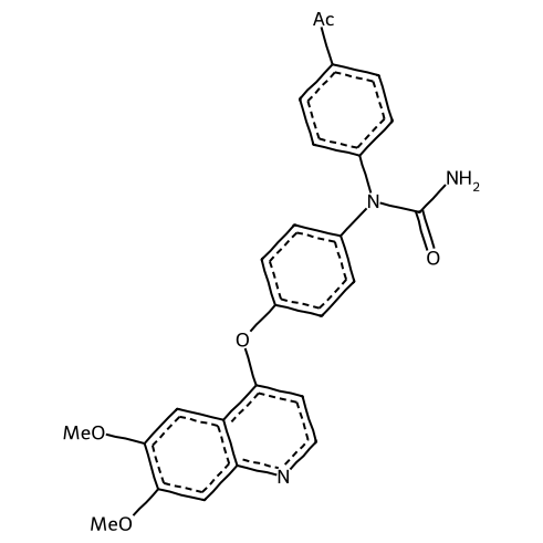 COc1cc2nccc(Oc3ccc(N(C(N)=O)c4ccc(C(C)=O)cc4)cc3)c2cc1OC